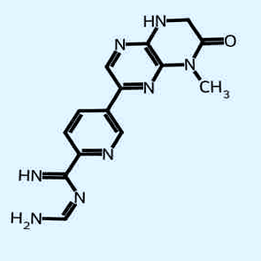 CN1C(=O)CNc2ncc(-c3ccc(C(=N)/N=C\N)nc3)nc21